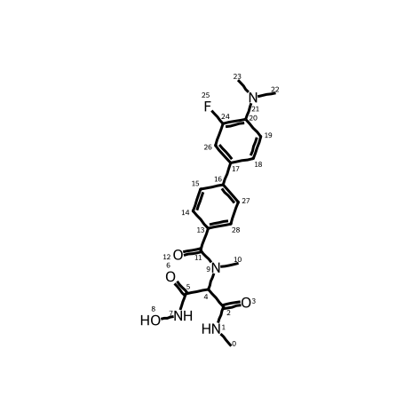 CNC(=O)C(C(=O)NO)N(C)C(=O)c1ccc(-c2ccc(N(C)C)c(F)c2)cc1